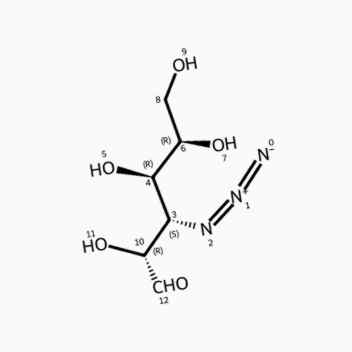 [N-]=[N+]=N[C@@H]([C@@H](O)[C@H](O)CO)[C@@H](O)C=O